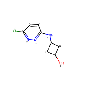 OC1CC(Nc2ccc(Cl)nn2)C1